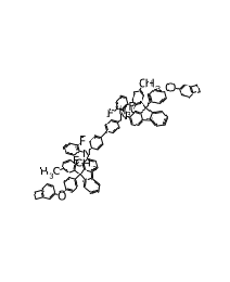 Cc1ccc(C)c(C2(c3ccc(Oc4ccc5c(c4)CC5)cc3)c3ccccc3-c3ccc(N(c4ccc(-c5ccc(N(c6ccc7c(c6)C(c6ccc(Oc8ccc9c(c8)CC9)cc6)(c6cc(C)ccc6C)c6ccccc6-7)c6c(F)cccc6F)cc5)cc4)c4c(F)cccc4F)cc32)c1